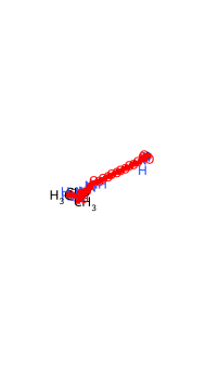 CCCN(CCCNC(=O)OC(C)C)C(=O)C1=Cc2ccc(-c3cnc(CNC(=O)CCOCCOCCOCCOCCOCCOCCOCCOCCOCCOCCNC(=O)CN4C(=O)C=CC4=O)nc3)cc2N=C(N)C1